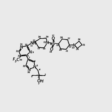 CC(C)(O)Cn1cc(-c2nc(NC3CCN(S(=O)(=O)C4CCC(N5CCC5)CC4)CC3)ncc2C(F)(F)F)cn1